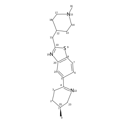 C[C@H]1CCC(c2ccc3sc(CC4CCN(C)CC4)nc3c2)=NC1